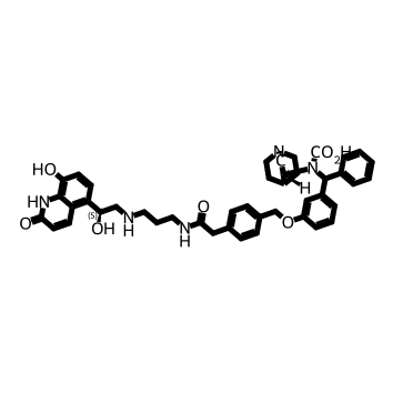 O=C(Cc1ccc(COc2cccc(C(c3ccccc3)N(C(=O)O)[C@H]3CN4CCC3CC4)c2)cc1)NCCCNC[C@@H](O)c1ccc(O)c2[nH]c(=O)ccc12